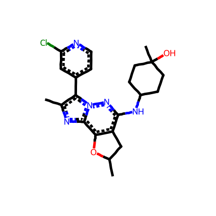 Cc1nc2c3c(c(NC4CCC(C)(O)CC4)nn2c1-c1ccnc(Cl)c1)CC(C)O3